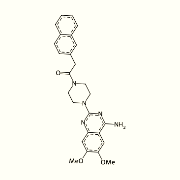 COc1cc2nc(N3CCN(C(=O)Cc4ccc5ccccc5c4)CC3)nc(N)c2cc1OC